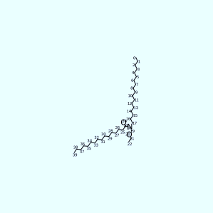 CCCCCCCCCCCCCCCCCCN(COCC)C(=O)CCCCCCCCCCCCCCC